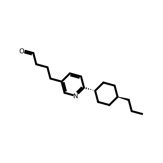 CCC[C@H]1CC[C@H](c2ccc(CCCC=O)cn2)CC1